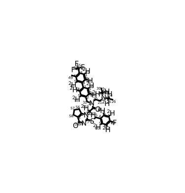 [2H]c1c([2H])c(CSc2nc(=O)c3c(n2C([2H])([2H])C(=O)N(CCN(C([2H])([2H])C)C([2H])([2H])C)Cc2c([2H])c([2H])c(-c4c([2H])c([2H])c(C(F)(F)F)c(C)c4[2H])c([2H])c2[2H])CCC3)c([2H])c([2H])c1F